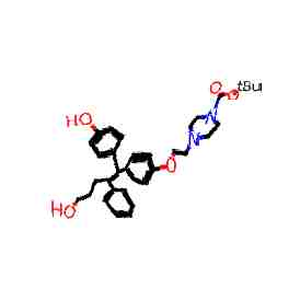 CC(C)(C)OC(=O)N1CCN(CCOc2ccc(/C(=C(/CCCO)c3ccccc3)c3ccc(O)cc3)cc2)CC1